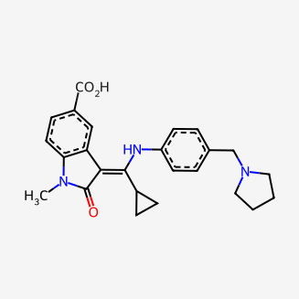 CN1C(=O)C(=C(Nc2ccc(CN3CCCC3)cc2)C2CC2)c2cc(C(=O)O)ccc21